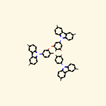 CC(C)(C)c1ccc2c(c1)c1cc(C(C)(C)C)ccc1n2-c1ccc2c(c1)Oc1cc(-n3c4ccc(C(C)(C)C)cc4c4cc(C(C)(C)C)ccc43)cc3c1B2c1ccc(-n2c4ccc(C(C)(C)C)cc4c4cc(C(C)(C)C)ccc42)cc1O3